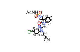 CC(=O)NS(=O)(=O)N1CC2(C1)C(=O)N(Cc1nc3cc(Cl)ccc3n1CCCC#N)c1ccccc12